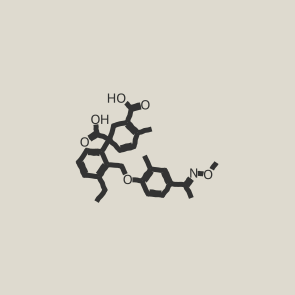 CCc1cccc(C2(C(=O)O)C=CC(C)=C(C(=O)O)C2)c1COc1ccc(C(C)=NOC)cc1C